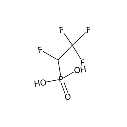 O=P(O)(O)C(F)C(F)(F)F